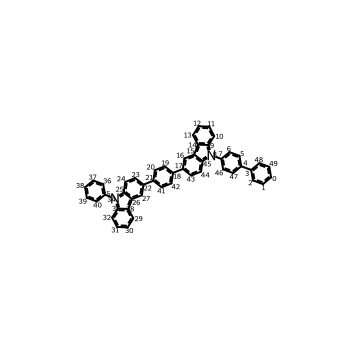 c1ccc(-c2ccc(-n3c4ccccc4c4cc(-c5ccc(-c6ccc7c(c6)c6ccccc6n7-c6ccccc6)cc5)ccc43)cc2)cc1